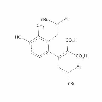 CCCCC(CC)CC(=C(C(=O)O)C(=O)O)c1ccc(O)c(C)c1CC(CC)CCCC